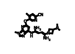 Cc1cc(C#N)ncc1Oc1cc(N/C(N)=C/C=C(\N)N2CC(N(C)C)C2)c2ncn(C)c2n1